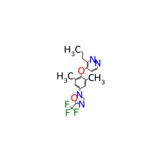 CCCc1nnccc1Oc1c(C)cc(N2CN=C(C(F)(F)F)O2)cc1C